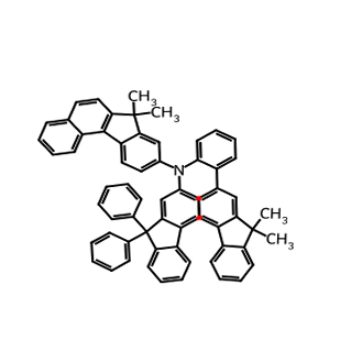 CC1(C)c2ccccc2-c2ccc(-c3ccccc3N(c3ccc4c(c3)C(C)(C)c3ccc5ccccc5c3-4)c3ccc4c(c3)C(c3ccccc3)(c3ccccc3)c3ccccc3-4)cc21